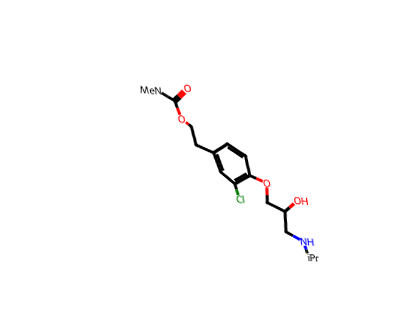 CNC(=O)OCCc1ccc(OCC(O)CNC(C)C)c(Cl)c1